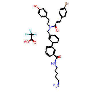 NCCCCCNC(=O)c1cccc(-c2cccc(CN(CCc3ccc(O)cc3)C(=O)/C=C/c3ccc(Br)cc3)c2)c1.O=C(O)C(F)(F)F